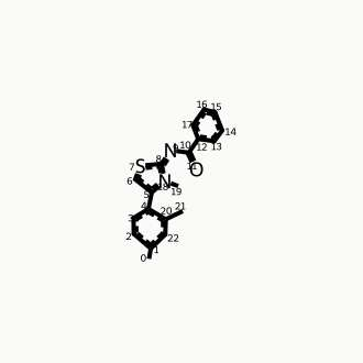 Cc1ccc(-c2csc(=NC(=O)c3ccccc3)n2C)c(C)c1